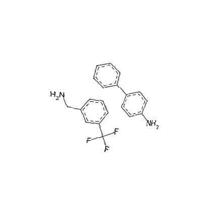 NCc1cccc(C(F)(F)F)c1.Nc1ccc(-c2ccccc2)cc1